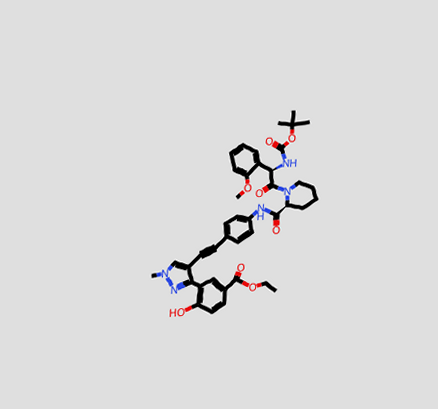 CCOC(=O)c1ccc(O)c(-c2nn(C)cc2C#Cc2ccc(NC(=O)[C@@H]3CCCCN3C(=O)[C@H](NC(=O)OC(C)(C)C)c3ccccc3OC)cc2)c1